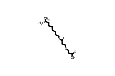 CC(C)CCCCCCCOC(=O)CCSCCC(=O)O